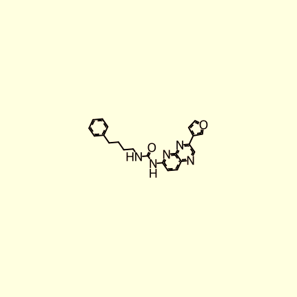 O=C(NCCCCc1ccccc1)Nc1ccc2ncc(-c3ccoc3)nc2n1